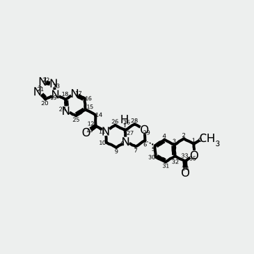 CC1Cc2cc([C@@H]3CN4CCN(C(=O)Cc5cnc(-n6cnnn6)nc5)C[C@H]4CO3)ccc2C(=O)O1